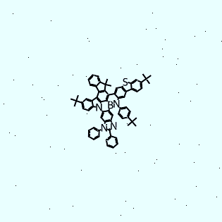 CC(C)(C)c1ccc(N2B3c4cc5nc(-c6ccccc6)n(-c6ccccc6)c5cc4-n4c5ccc(C(C)(C)C)cc5c5c6c(c(c3c54)-c3cc4sc5cc(C(C)(C)C)ccc5c4cc32)C(C)(C)c2ccccc2-6)cc1